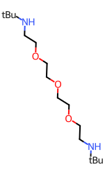 CC(C)(C)NCCOCCOCCOCCNC(C)(C)C